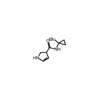 CC(C)(C)C1(NC(=O)C2C=CNC2)CC1